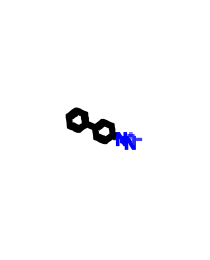 [N-]=[N+]=C1C=CC(c2ccccc2)=CC1